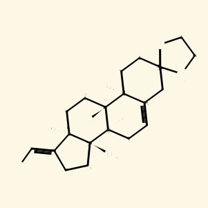 CC=C1CC[C@H]2[C@@H]3CC=C4CC5(CC[C@]4(C)[C@@]3(O)CC[C@]12C)OCCO5